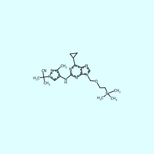 Cc1nn(C(C)(C)C#N)cc1Nc1nc(C2CC2)c2ncn(COCC[Si](C)(C)C)c2n1